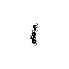 COc1ccc2c(C=O)c(-c3ccc(NC(=O)C4CCC(=O)N4)cc3)sc2c1